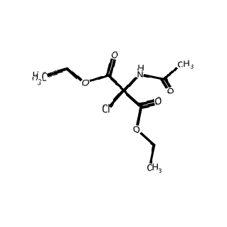 CCOC(=O)C(Cl)(NC(C)=O)C(=O)OCC